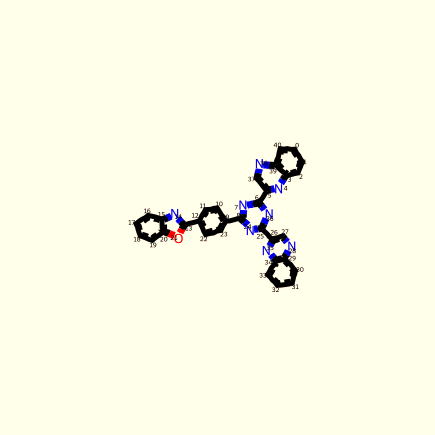 c1ccc2nc(-c3nc(-c4ccc(-c5nc6ccccc6o5)cc4)nc(-c4cnc5ccccc5n4)n3)cnc2c1